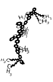 CCCCCCCCC1(CCCCCCCC)c2ccccc2-c2ccc(-c3ccc4c(c3)C(C)(C)c3cc(-c5ccc(-c6cc7c(c8oc9ccccc9c68)-c6ccc8c(c6[Si]7(C)C)[Si](C)(C)c6cc(-c7ccc(-c9ccc%10c(c9)C(C)(C)c9cc%11c(cc9-%10)C(CCCCCCCC)(CCCCCCCC)c9ccccc9-%11)cc7)c7c(oc9ccccc97)c6-8)cc5)ccc3-4)cc21